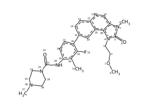 COCCn1c(=O)n(C)c2cnc3ccc(-c4ccc(NC(=O)N5CCN(C)CC5)c(C)c4F)cc3c21